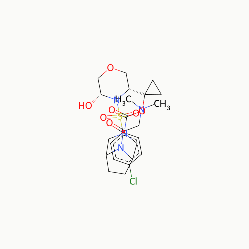 CN(C)CC(=O)N1C2CCC1CN(C(=O)OC1([C@H]3COC[C@@H](O)N3S(=O)(=O)c3ccc(Cl)cc3)CC1)C2